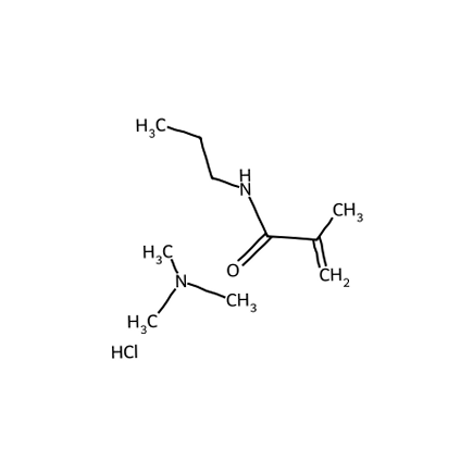 C=C(C)C(=O)NCCC.CN(C)C.Cl